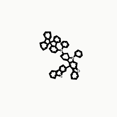 C1=C2c3c(cc4oc5ccccc5c4c3-c3ccc4c(c3)sc3ccccc34)N(c3ccccc3)C2CC(N(c2ccccc2)c2cccc3c2-c2ccccc2C32c3ccccc3-c3ccccc32)=C1